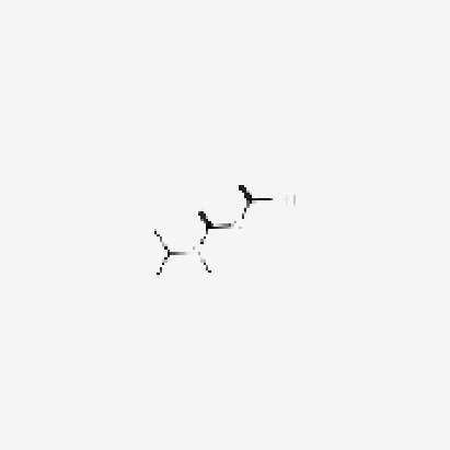 CC(C)N(C)C(=O)NC(=O)O